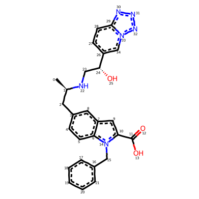 C[C@H](Cc1ccc2c(c1)cc(C(=O)O)n2Cc1ccccc1)NC[C@@H](O)c1ccc2nnnn2c1